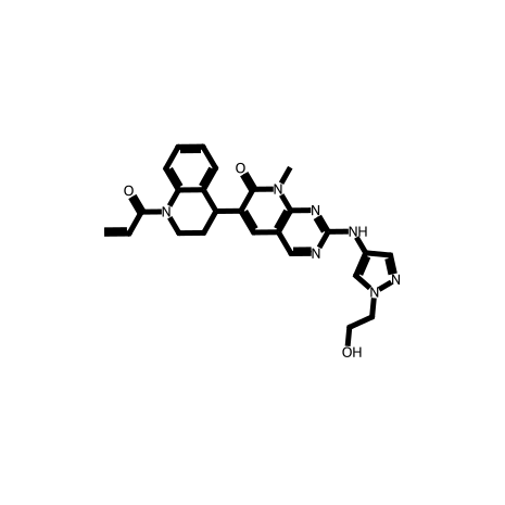 C=CC(=O)N1CCC(c2cc3cnc(Nc4cnn(CCO)c4)nc3n(C)c2=O)c2ccccc21